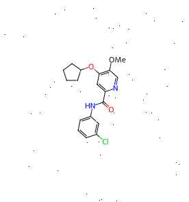 COc1cnc(C(=O)Nc2cccc(Cl)c2)cc1OC1CCCC1